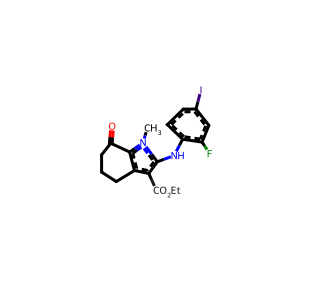 CCOC(=O)c1c2c(n(C)c1Nc1ccc(I)cc1F)C(=O)CCC2